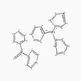 O=[P](c1ccccc1)c1ccccc1.c1ccc(P(c2ccccc2)c2ccccc2)cc1